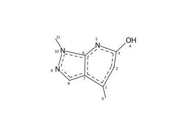 Cc1cc(O)nc2c1cnn2C